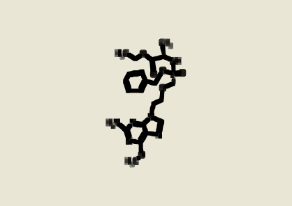 CCOC(=O)[C@@H](C)N[P@](=O)(COCCn1cnc2c(OC)nc(N)nc21)OCc1ccccc1